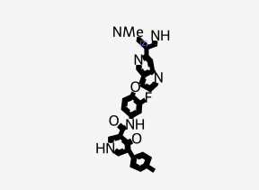 CN/C=C(\C=N)c1cc2nccc(Oc3ccc(NC(=O)c4c[nH]cc(-c5ccc(C)cc5)c4=O)cc3F)c2cn1